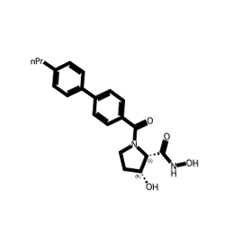 CCCc1ccc(-c2ccc(C(=O)N3CC[C@@H](O)[C@H]3C(=O)NO)cc2)cc1